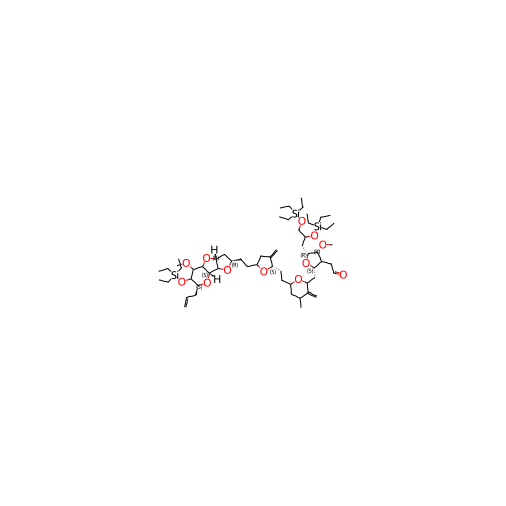 C=CC[C@@H]1O[C@@H]2C(O[C@@H]3C[C@@H](CCC4CC(=C)[C@H](CCC5CC(C)C(=C)C(C[C@@H]6O[C@H](CC(CO[Si](CC)(CC)CC)O[Si](CC)(CC)CC)[C@H](OC)C6CC=O)O5)O4)OC23)C(OC)C1O[Si](CC)(CC)CC